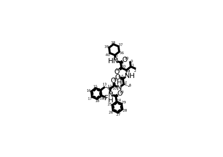 CC(C)[C@H](NC(=O)[C@H](C)NC(=O)[C@@H](Cc1ccccc1F)NC(=O)c1ccccc1)C(=O)C(=O)NC1CCCCC1